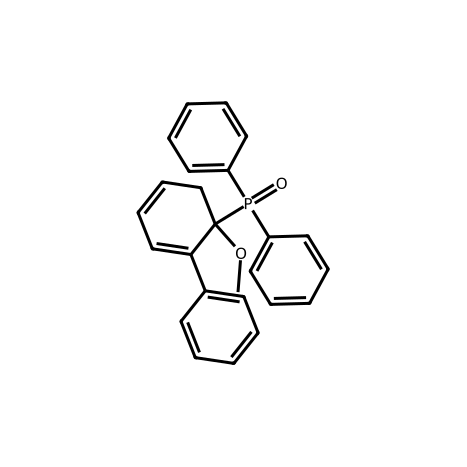 COC1(P(=O)(c2ccccc2)c2ccccc2)CC=CC=C1c1ccccc1